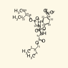 CCC(CC)COC(=O)CNP(=O)(NCC(=O)OCC(CC)CC)Oc1ccc([N+](=O)[O-])cc1